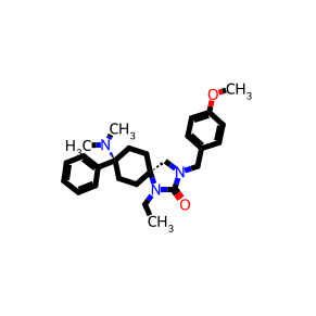 CCN1C(=O)N(Cc2ccc(OC)cc2)C[C@]12CC[C@@](c1ccccc1)(N(C)C)CC2